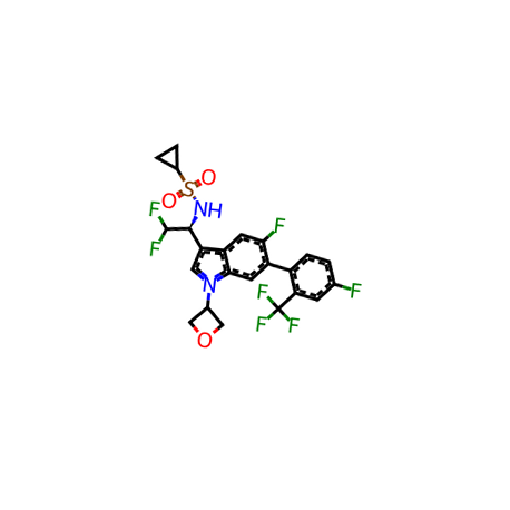 O=S(=O)(N[C@@H](c1cn(C2COC2)c2cc(-c3ccc(F)cc3C(F)(F)F)c(F)cc12)C(F)F)C1CC1